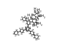 Bc1c(B)c(B)c2c(oc3c(B)c(B)c(-c4cc(-c5ccccc5)cc(-c5nc(-c6ccc(-c7ccccc7)cc6)nc(-c6ccc(-c7ccccc7)cc6)n5)c4)c(B)c32)c1B